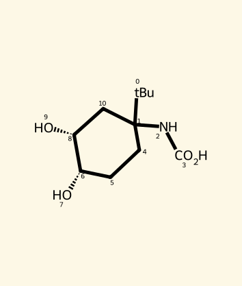 CC(C)(C)C1(NC(=O)O)CC[C@H](O)[C@H](O)C1